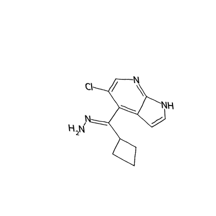 N/N=C(/c1c(Cl)cnc2[nH]ccc12)C1CCC1